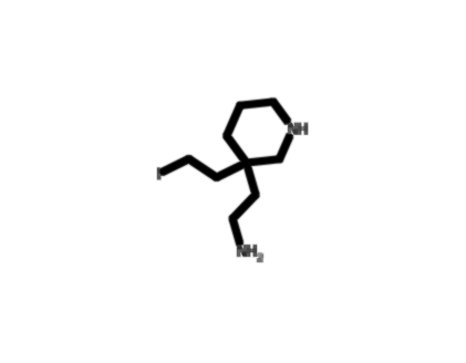 NCCC1(CCI)CCCNC1